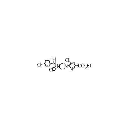 CCOC(=O)c1cnc(N2CCN(C(=O)Nc3ccc(Cl)cc3Cl)CC2)c(Cl)c1